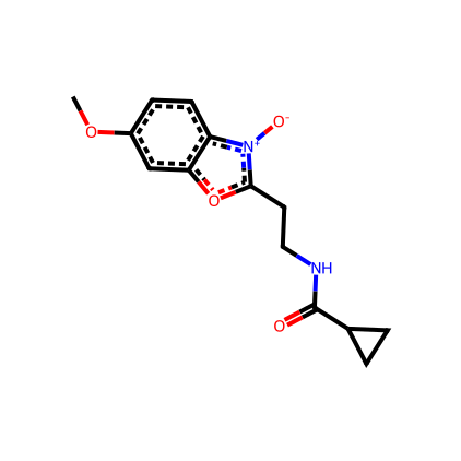 COc1ccc2c(c1)oc(CCNC(=O)C1CC1)[n+]2[O-]